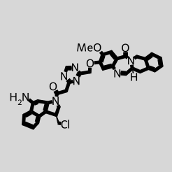 COc1cc2c(cc1OCc1ncnc(CC(=O)N3C[C@@H](CCl)c4c3cc(N)c3ccccc43)n1)N=C[C@@H]1Cc3ccccc3CN1C2=O